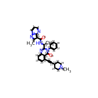 Cc1nn2cccnc2c1C(=O)N[C@@H](C)c1nc2cccc(C#CC3CCN(C)CC3)c2c(=O)n1-c1ccccc1